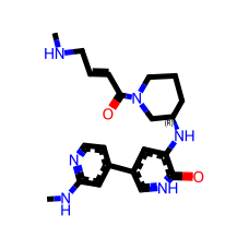 CNCC=CC(=O)N1CCC[C@@H](Nc2cc(-c3ccnc(NC)c3)c[nH]c2=O)C1